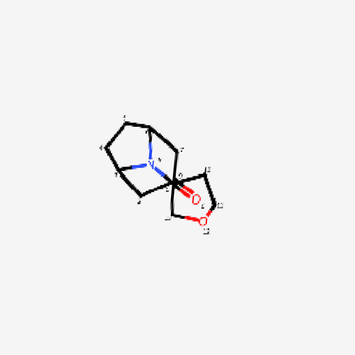 O=C1CC2CCC(C1)N2C1CCOC1